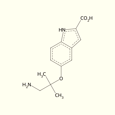 CC(C)(CN)Oc1ccc2[nH]c(C(=O)O)cc2c1